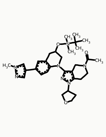 CC(=O)N1CCc2c(c(N3CC(O[Si](C)(C)C(C)(C)C)Cc4cc(-c5cnn(C)c5)ccc43)nn2C2CCOC2)C1